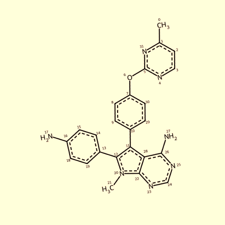 Cc1ccnc(Oc2ccc(-c3c(-c4ccc(N)cc4)n(C)c4ncnc(N)c34)cc2)n1